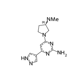 CN[C@@H]1CCN(c2cc(-c3cn[nH]c3)nc(N)n2)C1